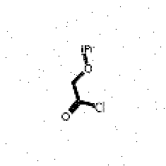 CC(C)OCC(=O)Cl